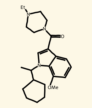 CCN1CCN(C(=O)c2cn(C(C)C3CCCCC3)c3c(OC)cccc23)CC1